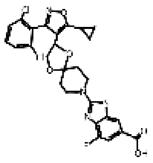 O=C(O)c1cc(F)c2nc(N3CCC4(CC3)OCC(c3c(-c5c(Cl)cccc5Cl)noc3C3CC3)O4)sc2c1